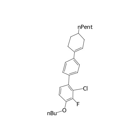 CCCCCC1CC=C(c2ccc(-c3ccc(OCCCC)c(F)c3Cl)cc2)CC1